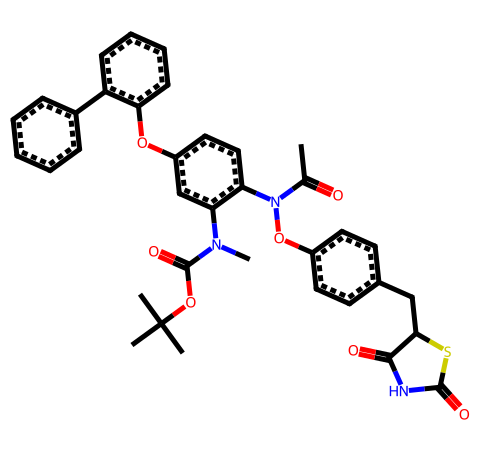 CC(=O)N(Oc1ccc(CC2SC(=O)NC2=O)cc1)c1ccc(Oc2ccccc2-c2ccccc2)cc1N(C)C(=O)OC(C)(C)C